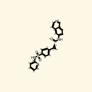 O=C(Nc1ccc2cnccc2c1)[C@@H]1CC1c1ccc(S(=O)(=O)Nc2ccccn2)cc1